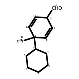 CCCC1(C2CCCCC2)C=CC(C=O)C=C1